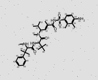 CNC(C(=O)NC(C(=O)N(C)C(/C=C(\C)C(=O)NS(=O)(=O)c1ccc(N)c(C)c1C)C(C)C)C(C)(C)C)C(C)(C)c1ccccc1